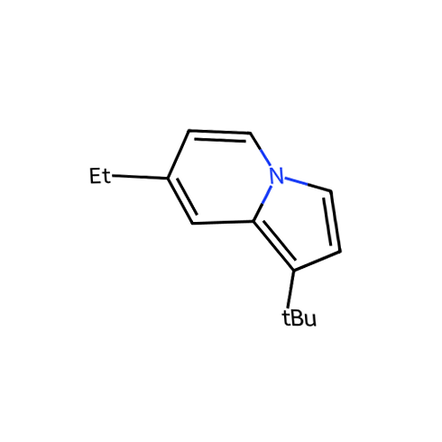 CCc1ccn2ccc(C(C)(C)C)c2c1